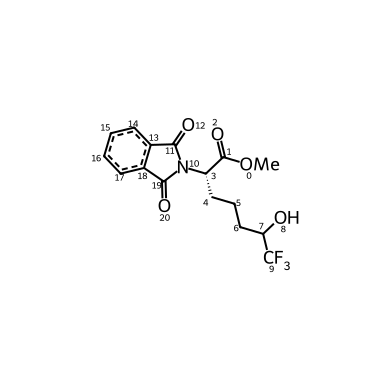 COC(=O)[C@H](CCCC(O)C(F)(F)F)N1C(=O)c2ccccc2C1=O